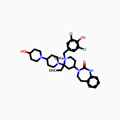 O=CCC1(N2CCC(N3CCC(O)CC3)CC2)CC(N2CCc3ccccc3NC2=O)CC[N@+]1(Cc1cc(Cl)c(O)c(Cl)c1)C(=O)[O-]